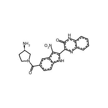 N[C@@H]1CCN(C(=O)c2ccc3[nH]c(-c4nc5ccccc5[nH]c4=O)c([N+](=O)[O-])c3c2)C1